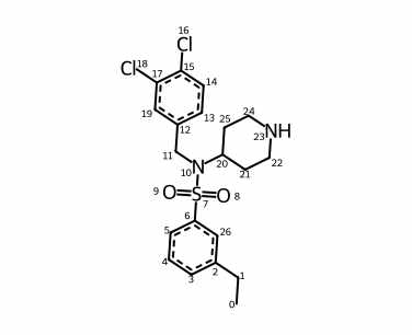 CCc1cccc(S(=O)(=O)N(Cc2ccc(Cl)c(Cl)c2)C2CCNCC2)c1